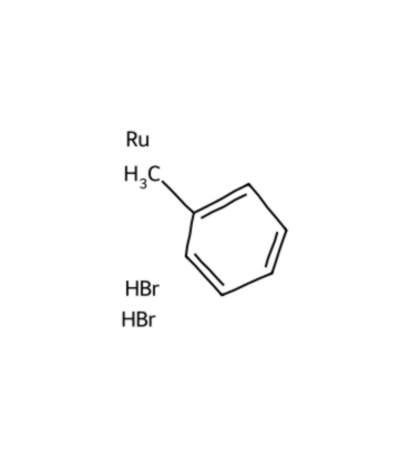 Br.Br.Cc1ccccc1.[Ru]